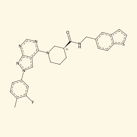 Cc1ccc(-n2cc3c(N4CCC[C@H](C(=O)NCc5ccc6sccc6c5)C4)ncnc3n2)cc1F